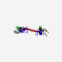 COc1cc(C(=O)NCCOCCOCCOCCNC(=O)C[C@@H]2N=C(c3ccc(Cl)cc3)c3c(sc(C)c3C)-n3c(C)nnc32)ccc1NC(=O)[C@H]1N[C@H](CC(C)(C)C)[C@@](C)(c2ccc(Cl)cc2F)[C@@H]1c1cccc(Cl)c1F